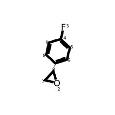 C1CO1.Fc1ccccc1